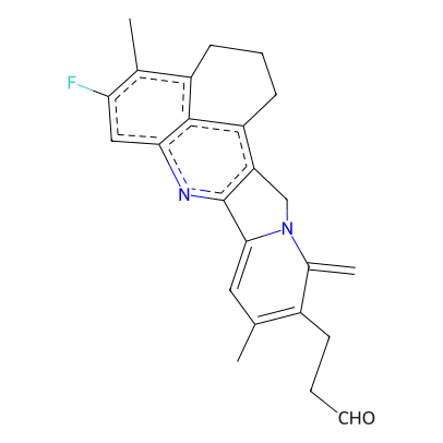 C=C1C(CCC=O)=C(C)C=C2c3nc4cc(F)c(C)c5c4c(c3CN12)CCC5